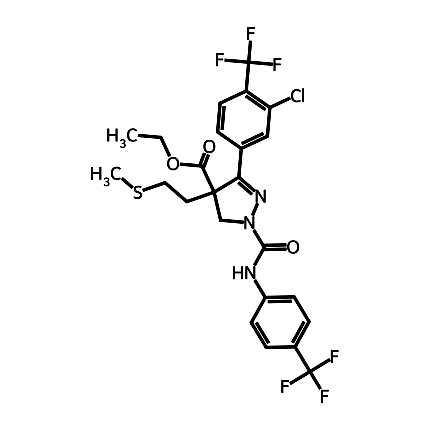 CCOC(=O)C1(CCSC)CN(C(=O)Nc2ccc(C(F)(F)F)cc2)N=C1c1ccc(C(F)(F)F)c(Cl)c1